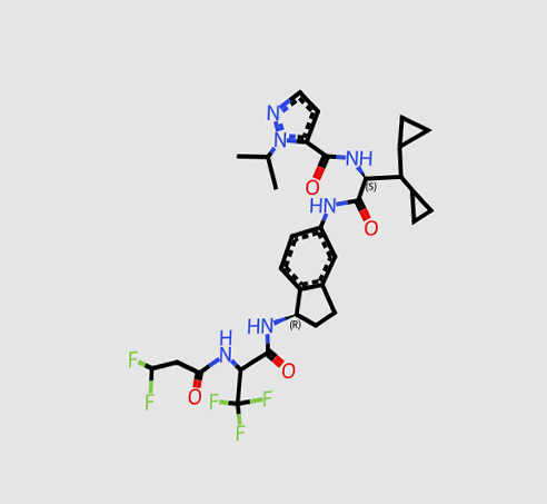 CC(C)n1nccc1C(=O)N[C@H](C(=O)Nc1ccc2c(c1)CC[C@H]2NC(=O)C(NC(=O)CC(F)F)C(F)(F)F)C(C1CC1)C1CC1